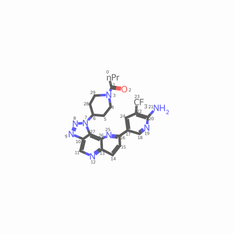 CCCC(=O)N1CCC(n2nnc3cnc4ccc(-c5cnc(N)c(C(F)(F)F)c5)nc4c32)CC1